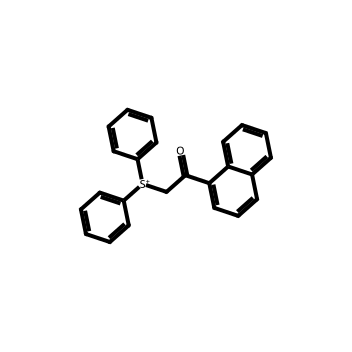 O=C(C[S+](c1ccccc1)c1ccccc1)c1cccc2ccccc12